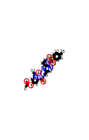 CC(=O)O[C@@H]1C[C@H](C(=O)NCc2cnc3c(ccn3S(=O)(=O)c3ccc(C)cc3)n2)N(C(C)=O)C1